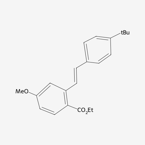 CCOC(=O)c1ccc(OC)cc1C=Cc1ccc(C(C)(C)C)cc1